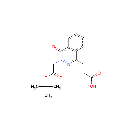 CC(C)(C)OC(=O)Cn1nc(CCC(=O)O)c2ccccc2c1=O